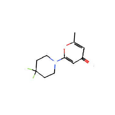 Cc1cc(=O)cc(N2CCC(F)(F)CC2)o1